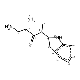 CN(C(=O)[C@@H](N)CN)C1Cc2ccccc2N1